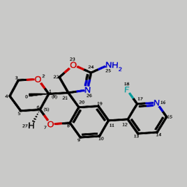 C[C@]12OCCC[C@@H]1Oc1ccc(-c3cccnc3F)cc1C21COC(N)=N1